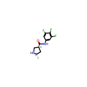 C[C@H]1C[C@H](C(=O)Nc2cc(F)c(F)c(F)c2)CN1